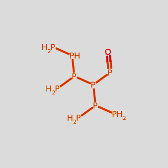 O=PP(P(P)P)P(P)PP